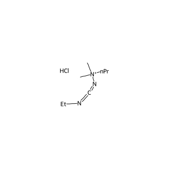 CCC[N+](C)(C)N=C=NCC.Cl